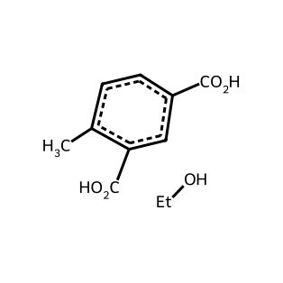 CCO.Cc1ccc(C(=O)O)cc1C(=O)O